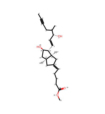 CC#CCC(C)[C@H](O)/C=C/[C@@H]1[C@H]2C/C(=C/CCCC(=O)OC)C[C@H]2C[C@H]1O